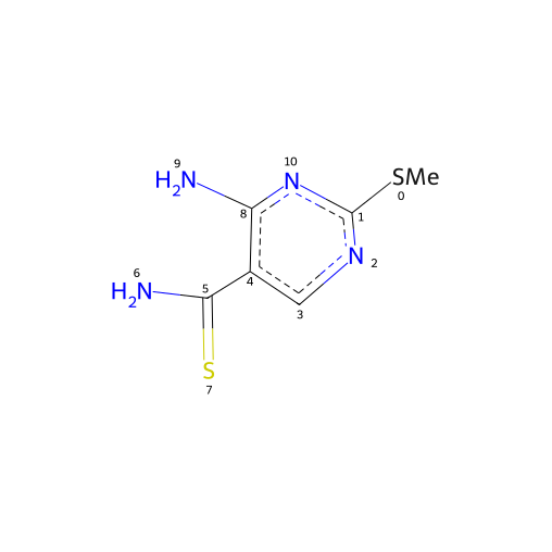 CSc1ncc(C(N)=S)c(N)n1